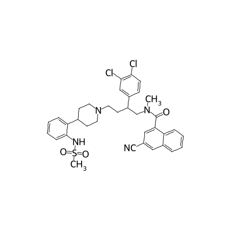 CN(CC(CCN1CCC(c2ccccc2NS(C)(=O)=O)CC1)c1ccc(Cl)c(Cl)c1)C(=O)c1cc(C#N)cc2ccccc12